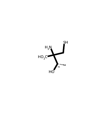 C[C@H](O)C(N)(CS)C(=O)O